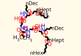 CCCCCC/C=C\CCCC(=O)O[C@H](CCCCCCC)CCOCC(COP(=O)(O)OCCNC(=O)[C@H]1OC(C)(C)O[C@H]1C(=O)NCCOP(=O)(O)OCC(COCC[C@@H](CCCCCCC)OC(=O)CCC/C=C\CCCCCC)NC(=O)CCCCCCCCCCCCC)NC(=O)CCCCCCCCCCCCC